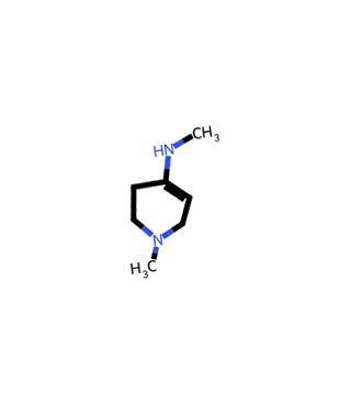 CNC1=CCN(C)CC1